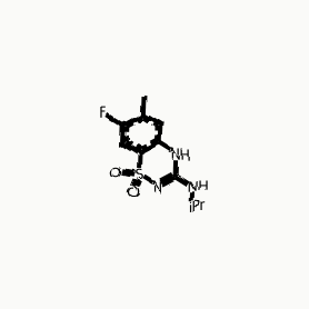 Cc1cc2c(cc1F)S(=O)(=O)N=C(NC(C)C)N2